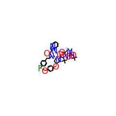 COc1ccc(O[C@H]2C[C@@H](CN(CCc3ccc(F)cc3)C(=O)c3cn4ccccc4n3)N(C(=O)[C@@H](NC(=O)[C@H](C)N(C)C(=O)OC(C)(C)C)C(C)(C)C)C2)cc1